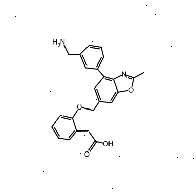 Cc1nc2c(-c3cccc(CN)c3)cc(COc3ccccc3CC(=O)O)cc2o1